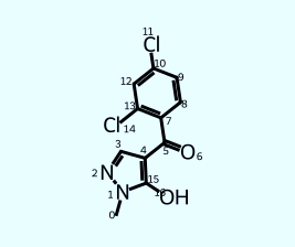 Cn1ncc(C(=O)c2ccc(Cl)cc2Cl)c1O